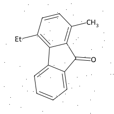 CCc1ccc(C)c2c1-c1ccccc1C2=O